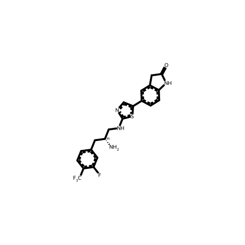 N[C@@H](CNc1ncc(-c2ccc3c(c2)CC(=O)N3)s1)Cc1ccc(C(F)(F)F)c(F)c1